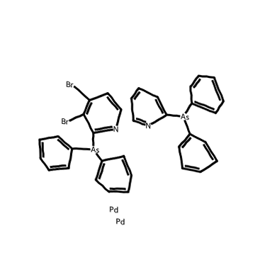 Brc1ccnc([As](c2ccccc2)c2ccccc2)c1Br.[Pd].[Pd].c1ccc([As](c2ccccc2)c2ccccn2)cc1